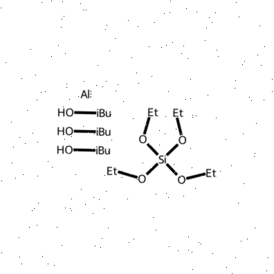 CCC(C)O.CCC(C)O.CCC(C)O.CCO[Si](OCC)(OCC)OCC.[Al]